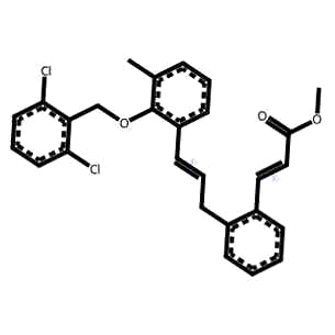 COC(=O)/C=C/c1ccccc1C/C=C/c1cccc(C)c1OCc1c(Cl)cccc1Cl